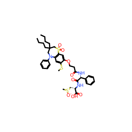 CCCCC1(CCCC)CN(c2ccccc2)c2cc(SC)c(OCCC(=O)N[C@@H](C(=O)N[C@@H](C[S+](C)[O-])C(=O)O)c3ccccc3)cc2S(=O)(=O)C1